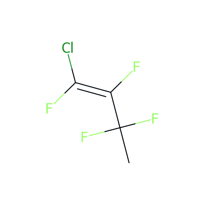 CC(F)(F)/C(F)=C(\F)Cl